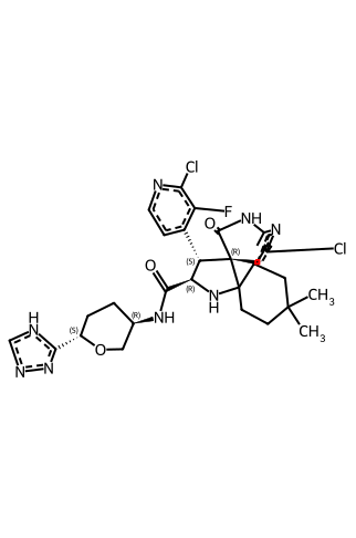 CC1(C)CCC2(CC1)N[C@@H](C(=O)N[C@@H]1CC[C@@H](c3nnc[nH]3)OC1)[C@H](c1ccnc(Cl)c1F)[C@]21C(=O)Nc2nc(Cl)ccc21